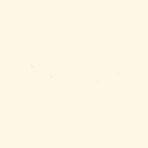 O=C(COc1cccc2c1C(=O)N(C1CCC(=O)NC1=O)C2=O)NCCO